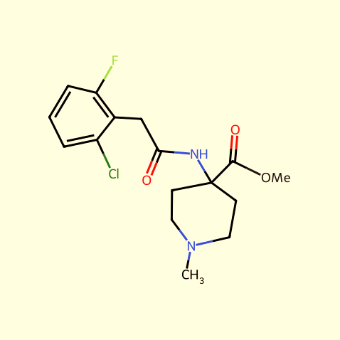 COC(=O)C1(NC(=O)Cc2c(F)cccc2Cl)CCN(C)CC1